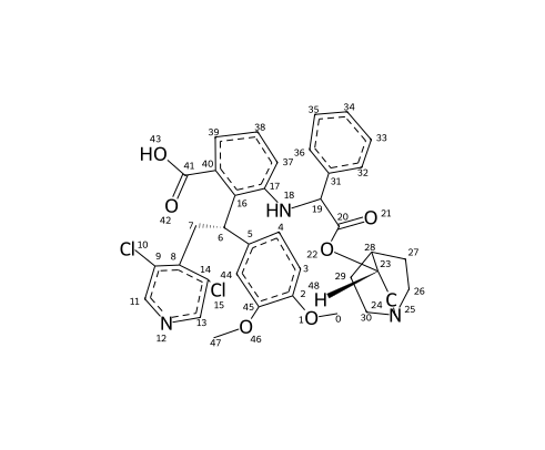 COc1ccc([C@H](Cc2c(Cl)cncc2Cl)c2c(NC(C(=O)O[C@H]3CN4CCC3CC4)c3ccccc3)cccc2C(=O)O)cc1OC